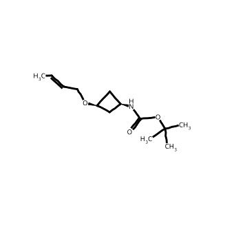 CC=CCO[C@H]1C[C@@H](NC(=O)OC(C)(C)C)C1